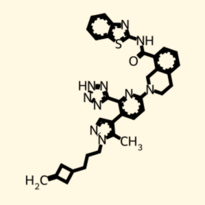 C=C1CC(CCCn2ncc(-c3ccc(N4CCc5cccc(C(=O)Nc6nc7ccccc7s6)c5C4)nc3-c3nn[nH]n3)c2C)C1